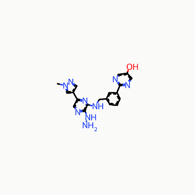 Cn1cc(-c2cnc(NN)c(NCc3cccc(-c4ncc(O)cn4)c3)n2)cn1